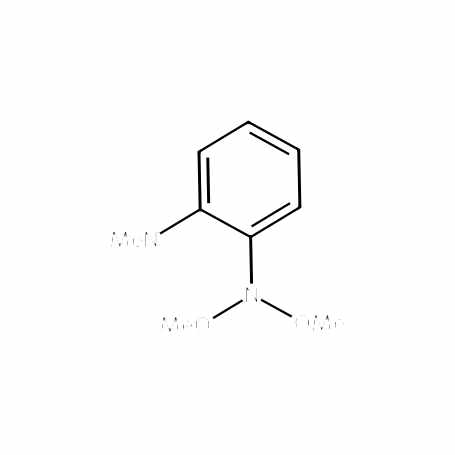 CNc1ccccc1N(OC)OC